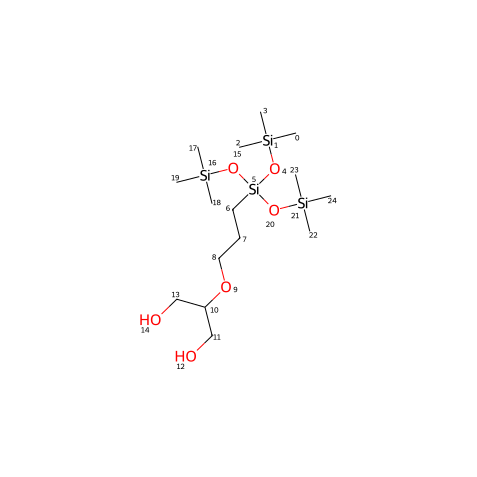 C[Si](C)(C)O[Si](CCCOC(CO)CO)(O[Si](C)(C)C)O[Si](C)(C)C